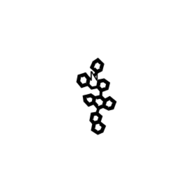 c1ccc(N2c3ccccc3Cc3c(-c4c5ccccc5c(-c5ccc6ccccc6c5)c5ccccc45)cccc32)cc1